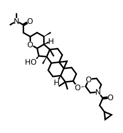 C[C@@H]1CC(CC(=O)N(C)C)OC2[C@H]1C1(C)CCC34CC35CCC(O[C@H]3CN(C(=O)CC6CC6)CCO3)C(C)(C)[C@@H]5CCC4[C@]1(C)[C@H]2O